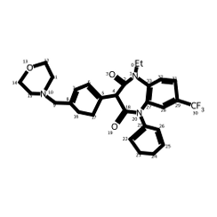 CCN1C(=O)C(C2=CC=C(CN3CCOCC3)CC2)C(=O)N(C2=CCCC=C2)c2cc(C(F)(F)F)ccc21